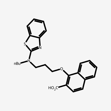 CCCCN(CCCOc1c(C(=O)O)ccc2ccccc12)c1nc2ccccc2s1